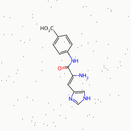 NC(=Cc1c[nH]cn1)C(=O)Nc1ccc(C(=O)O)cc1